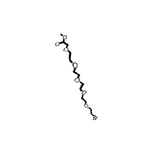 COC(=O)COCCOCCOCCOCCOCCBr